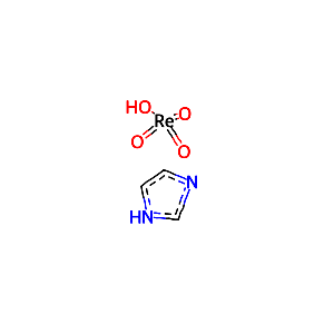 [O]=[Re](=[O])(=[O])[OH].c1c[nH]cn1